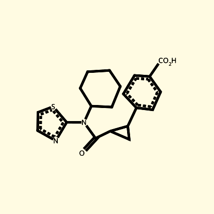 O=C(O)c1ccc(C2CC2C(=O)N(c2nccs2)C2CCCCC2)cc1